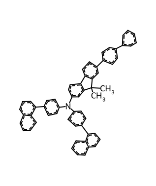 CC1(C)c2cc(-c3ccc(-c4ccccc4)cc3)ccc2-c2ccc(N(c3ccc(-c4cccc5ccccc45)cc3)c3ccc(-c4cccc5ccccc45)cc3)cc21